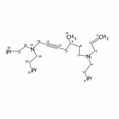 C=CCN(CCC(C)C)CCC(C)CC#CCN(CCC(C)C)CCC(C)C